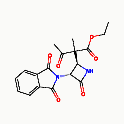 CCOC(=O)C(C)(C(C)=O)[C@H]1NC(=O)[C@@H]1N1C(=O)c2ccccc2C1=O